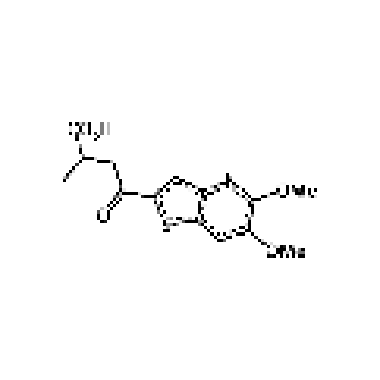 COc1cc2sc(C(=O)CC(C)C(=O)O)cc2nc1OC